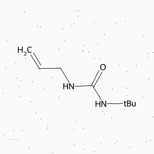 C=CCNC(=O)NC(C)(C)C